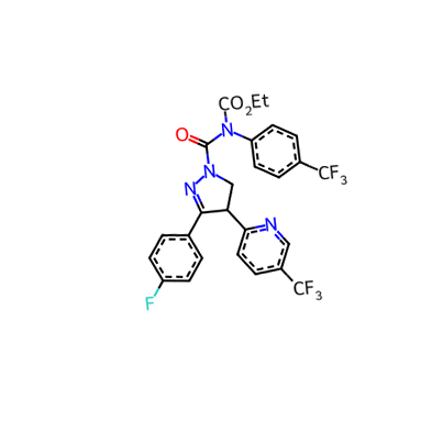 CCOC(=O)N(C(=O)N1CC(c2ccc(C(F)(F)F)cn2)C(c2ccc(F)cc2)=N1)c1ccc(C(F)(F)F)cc1